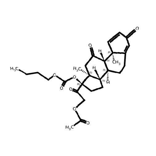 CCCCOC(=O)O[C@]1(C(=O)COC(C)=O)CC[C@H]2[C@@H]3CCC4=CC(=O)C=C[C@]4(C)[C@H]3C(=O)C[C@@]21C